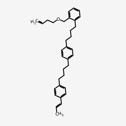 C=CCCOCc1ccccc1CCCCc1ccc(CCCCc2ccc(C=CC)cc2)cc1